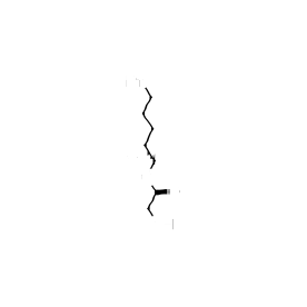 CC(C)CCCCCOC(=O)CS.[SbH3]